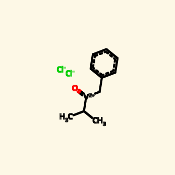 C[CH](C)[V+2](=[O])[CH2]c1ccccc1.[Cl-].[Cl-]